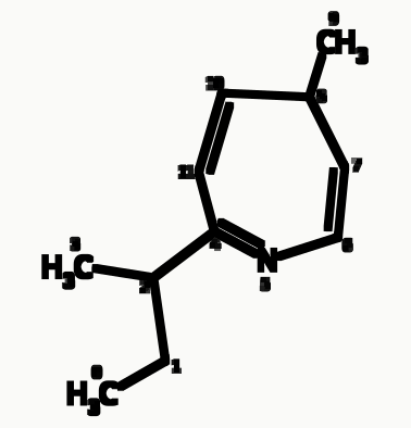 CCC(C)C1=NC=CC(C)C=C1